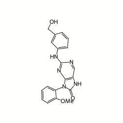 COc1ccccc1-n1c(=O)[nH]c2cnc(Nc3cccc(CO)c3)nc21